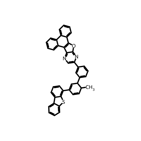 CC1C=CC(c2cccc3c2sc2ccccc23)=CC1c1cccc(-c2cnc3c(n2)oc2c4ccccc4c4ccccc4c32)c1